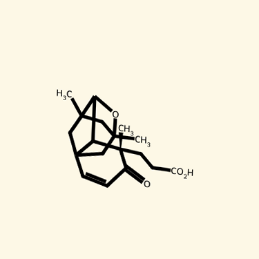 CC12CC3(C)CC4(C=CC(=O)[C@@](C)(CCC(=O)O)C4C3O1)C2